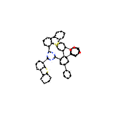 c1ccc(-c2cc(-c3ccccc3)c(-c3ccccc3-c3ccccc3)c(-c3nc(-c4cccc5c4sc4ccccc45)nc(-c4cccc5c4sc4ccccc45)n3)c2)cc1